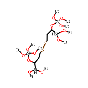 CCO[SiH](OCC)C(CCSSCCC(O[Si](OCC)(OCC)OCC)[SiH](OCC)OCC)O[Si](OCC)(OCC)OCC